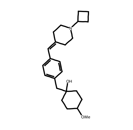 COC1CCC(O)(Cc2ccc(C=C3CCN(C4CCC4)CC3)cc2)CC1